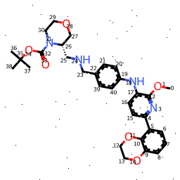 COc1nc(-c2cccc3c2OCCO3)ccc1Nc1ccc(CNC[C@H]2COCCN2C(=O)OC(C)(C)C)cc1